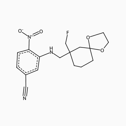 N#Cc1ccc([N+](=O)[O-])c(NCC2(CF)CCCC3(C2)OCCO3)c1